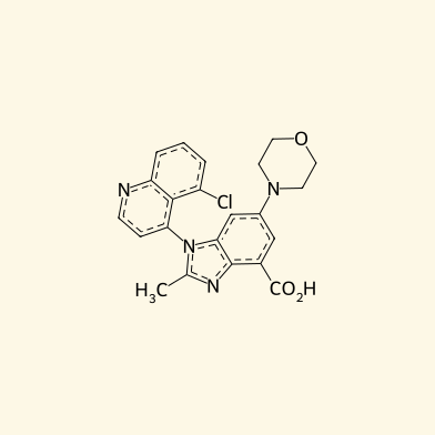 Cc1nc2c(C(=O)O)cc(N3CCOCC3)cc2n1-c1ccnc2cccc(Cl)c12